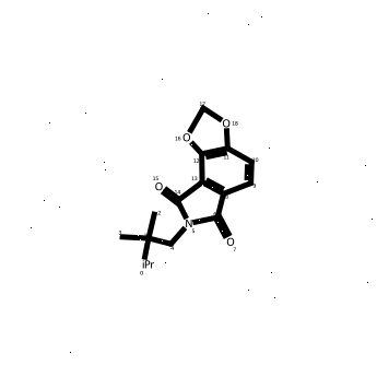 CC(C)C(C)(C)CN1C(=O)c2ccc3c(c2C1=O)OCO3